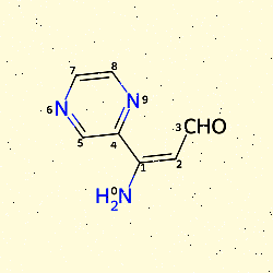 N/C(=C/C=O)c1cnccn1